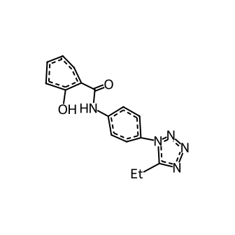 CCc1nnnn1-c1ccc(NC(=O)c2ccccc2O)cc1